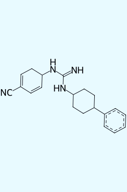 N#CC1=CCC(NC(=N)NC2CCC(c3ccccc3)CC2)C=C1